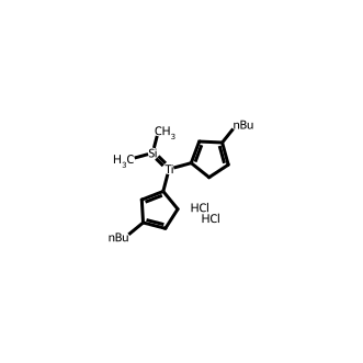 CCCCC1=CC[C]([Ti]([C]2=CC(CCCC)=CC2)=[Si](C)C)=C1.Cl.Cl